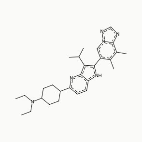 CCN(CC)C1CCC(c2ccc3[nH]c(-c4cn5ncnc5c(C)c4C)c(C(C)C)c3n2)CC1